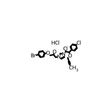 CC#CCOC(c1ccc(Cl)cc1)C(Cl)N1C=CN(CC(=O)COc2ccc(Br)cc2)C1.Cl